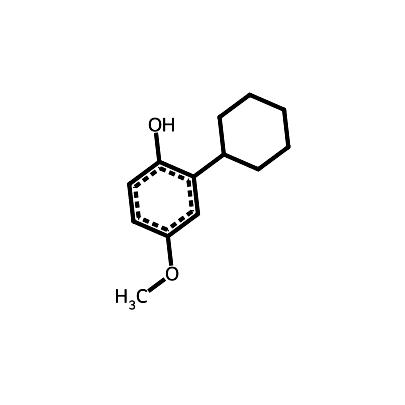 COc1ccc(O)c(C2CCCCC2)c1